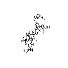 C[C@H]1c2c(nn(-c3ccc(F)c(C4CC4)c3)c2N2C=CN(c3ccc4c(cnn4C)c3F)C2O)CCN1C(=O)c1cn2cc([C@@H]3CCOC(C)(C)C3)ccc2c1C1(C2=NOC(O)N2)CC1